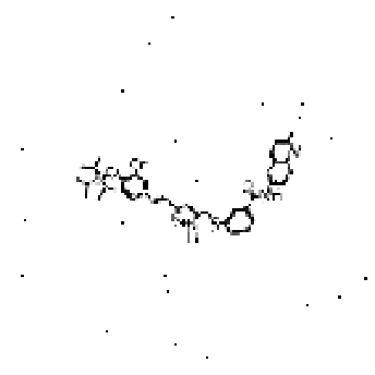 COc1cc(/C=C/c2cc(CSc3cccc(C(=O)Nc4ccc5nc(C)ccc5c4)c3)[nH]n2)ccc1O[Si](C(C)C)(C(C)C)C(C)C